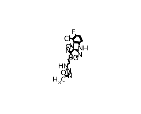 Cc1nnc(NCCOc2nonc2/C(=N\O)Nc2ccc(F)c(Cl)c2)o1